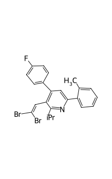 Cc1ccccc1-c1cc(-c2ccc(F)cc2)c(C=C(Br)Br)c(C(C)C)n1